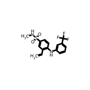 C=Cc1cc(S(=O)(=O)NC)ccc1Nc1cccc(C(F)(F)F)c1